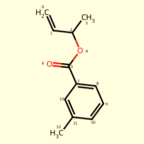 C=CC(C)OC(=O)c1cccc(C)c1